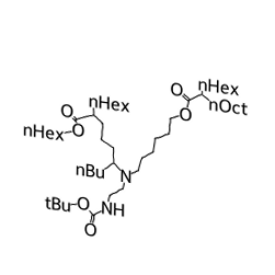 CCCCCCCCC(CCCCCC)C(=O)OCCCCCCN(CCNC(=O)OC(C)(C)C)C(CCCC)CCCC(CCCCCC)C(=O)OCCCCCC